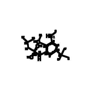 CNc1cc(C(C)(C)C)cc(NS(=O)(=O)CC(C)C)c1OC